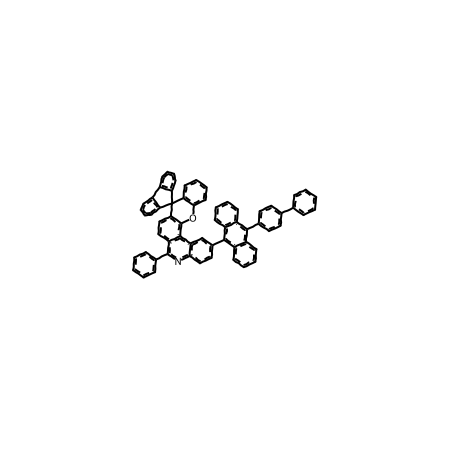 c1ccc(-c2ccc(-c3c4ccccc4c(-c4ccc5nc(-c6ccccc6)c6ccc7c(c6c5c4)Oc4ccccc4C74c5ccccc5-c5ccccc54)c4ccccc34)cc2)cc1